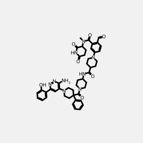 CN(C(=O)c1cc(N2CCC(C(=O)NC3CCN(C(=O)C4(c5ccccc5)CCN(c5cc(-c6ccccc6O)nnc5N)CC4)CC3)CC2)ccc1C=O)C1CCC(=O)NC1=O